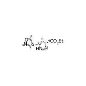 CCOC(=O)c1cc(-c2cnoc2)[nH]n1